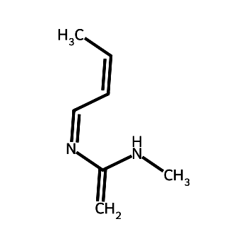 C=C(/N=C\C=C/C)NC